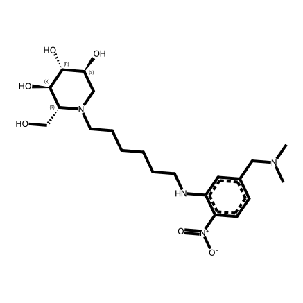 CN(C)Cc1ccc([N+](=O)[O-])c(NCCCCCCN2C[C@H](O)[C@@H](O)[C@H](O)[C@H]2CO)c1